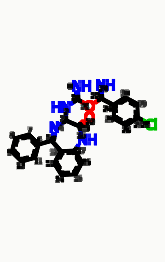 N=C(NC1N=C(c2ccccc2)c2ccccc2NC1=O)OC(=N)c1ccc(Cl)cc1